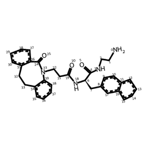 NCCNC(=O)[C@@H](Cc1ccc2ccccc2c1)NC(=O)CCN1C(=O)c2ccccc2CCc2ccccc21